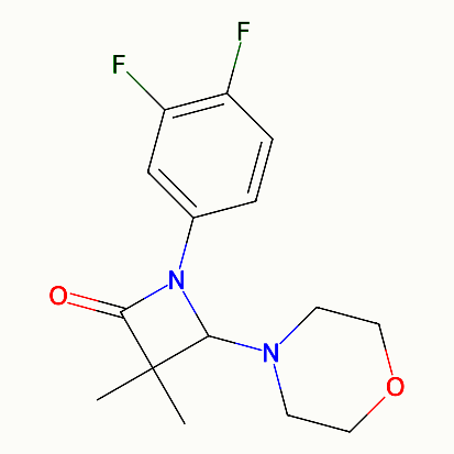 CC1(C)C(=O)N(c2ccc(F)c(F)c2)C1N1CCOCC1